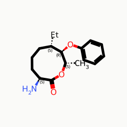 CC[C@H]1CCC[C@H](N)C(=O)O[C@@H](C)[C@@H]1Oc1ccccc1